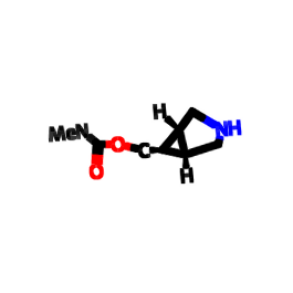 CNC(=O)OC[C@H]1[C@@H]2CNC[C@@H]21